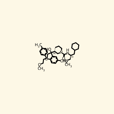 CNC[C@H](CC1CCCCC1)NC(=O)N1CCC[C@@H]([C@@](O)(CCCCOC)c2cc(C)ccc2Oc2ccc(C)cc2)C1